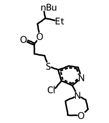 CCCCC(CC)COC(=O)CCSc1ccnc(N2CCOCC2)c1Cl